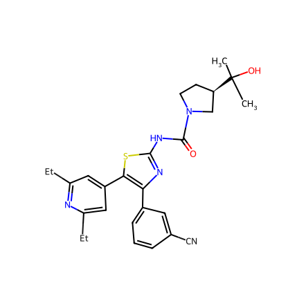 CCc1cc(-c2sc(NC(=O)N3CC[C@@H](C(C)(C)O)C3)nc2-c2cccc(C#N)c2)cc(CC)n1